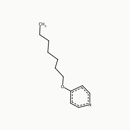 CCCCCCCOc1ccncc1